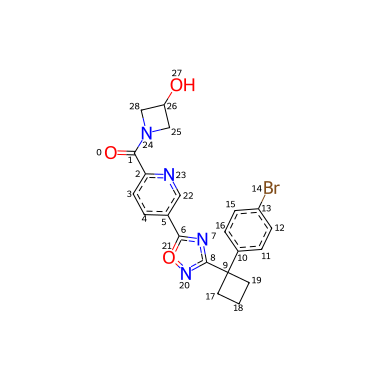 O=C(c1ccc(-c2nc(C3(c4ccc(Br)cc4)CCC3)no2)cn1)N1CC(O)C1